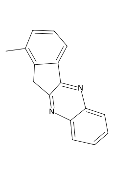 Cc1cccc2c1Cc1nc3ccccc3nc1-2